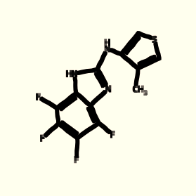 Cc1cscc1Nc1nc2c(F)c(F)c(F)c(F)c2[nH]1